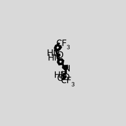 O=C(Nc1ccc(-c2cnc(CNS(=O)(=O)C(F)(F)F)s2)cc1)Nc1ccc(C(F)(F)F)cc1